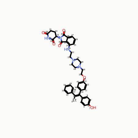 CCC(=C(c1ccc(O)cc1)c1ccc(OCCN2CCN(CCNc3cccc4c3C(=O)N(C3CCC(=O)NC3=O)C4=O)CC2)cc1)c1ccccc1